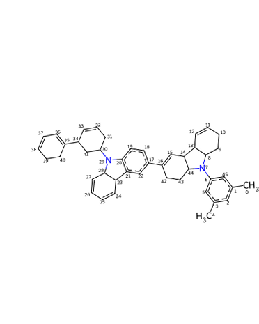 Cc1cc(C)cc(N2C3CCC=CC3C3C=C(c4ccc5c(c4)C4C=CC=CC4N5C4CC=CC(C5=CC=CCC5)C4)CCC32)c1